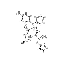 CC(Cn1cccn1)C(=O)N1C[C@H](F)C[C@H]1C(=O)N[C@@H](c1ccccc1)c1ccc(C(C)C)cc1